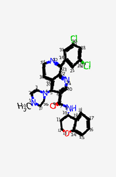 CN1CCN(c2c(C(=O)N[C@H]3CCOc4ccccc43)cnc3c(-c4cc(Cl)cc(Cl)c4)nccc23)CC1